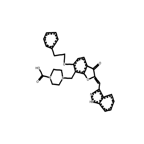 O=C1C(=Cc2n[nH]c3ccccc23)Oc2c1ccc(OCCc1ccccc1)c2CN1CCN(C(=O)O)CC1